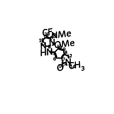 CNc1nc(Nc2cc3c(cc2OC)CN(C)C3=O)ncc1C(F)(F)F